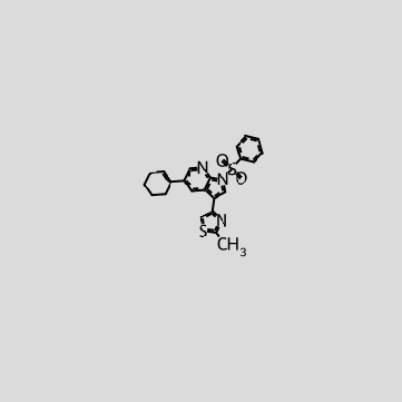 Cc1nc(-c2cn(S(=O)(=O)c3ccccc3)c3ncc(C4=CCCCC4)cc23)cs1